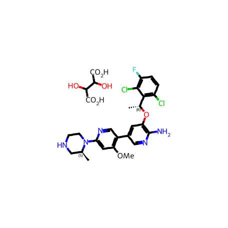 COc1cc(N2CCNC[C@@H]2C)ncc1-c1cnc(N)c(O[C@H](C)c2c(Cl)ccc(F)c2Cl)c1.O=C(O)C(O)C(O)C(=O)O